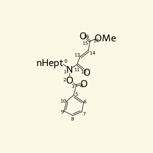 CCCCCCCN(OC(=O)c1ccccc1)C(=O)/C=C/C(=O)OC